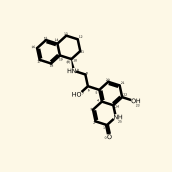 O=c1ccc2c(C(O)CN[C@@H]3CCCc4ccccc43)ccc(O)c2[nH]1